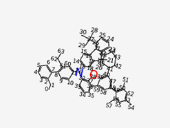 CCc1ccccc1-c1ccc(N(c2ccc3c(c2)C(C)(C)c2cccc(C(C)(C)C)c2-3)c2cccc3c2oc2c(C4CCCCC4)cc(-c4c(C)cc(C)cc4C)cc23)cc1CC